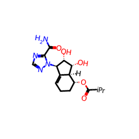 CC(C)C(=O)O[C@@H]1CCC=C2[C@H]1[C@@H](O)[C@@H](O)[C@@H]2n1ncnc1C(N)=O